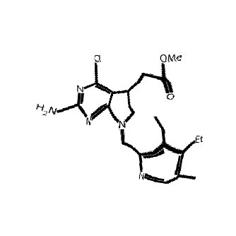 CCc1c(C)cnc(CN2CC(CC(=O)OC)c3c(Cl)nc(N)nc32)c1C